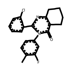 Cc1ccc(-n2c(-c3ccccc3Cl)nc3c(c2=O)CCCC3)cc1F